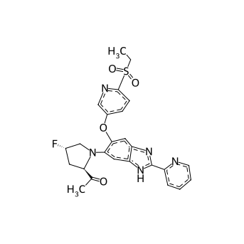 CCS(=O)(=O)c1ccc(Oc2cc3nc(-c4ccccn4)[nH]c3cc2N2C[C@@H](F)C[C@@H]2C(C)=O)cn1